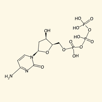 Nc1ccn([C@H]2C[C@@H](O)[C@@H](COP(=O)(O)OP(=O)(O)OP(=O)(O)O)O2)c(=O)n1